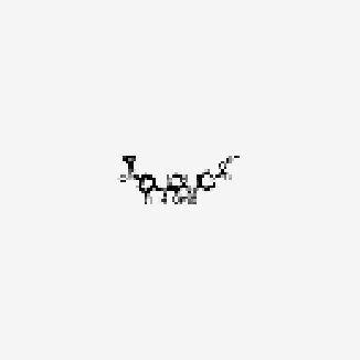 COc1c(Nc2ccc([S+]([O-])C3CC3)cc2Cl)ncnc1OC1CCN(C(=O)OC(C)C)CC1